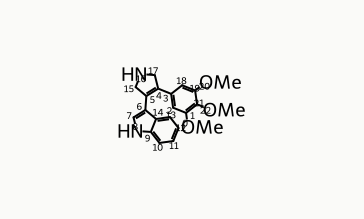 COc1cc(C2=C(c3c[nH]c4ccccc34)CNC2)cc(OC)c1OC